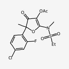 CCS(=O)(=O)N(C)C1=C(OC(C)=O)C(=O)C(C)(c2ccc(Cl)cc2F)O1